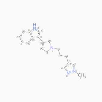 Cn1cc(CCCN2CC=C(c3c[nH]c4ccccc34)C2)cn1